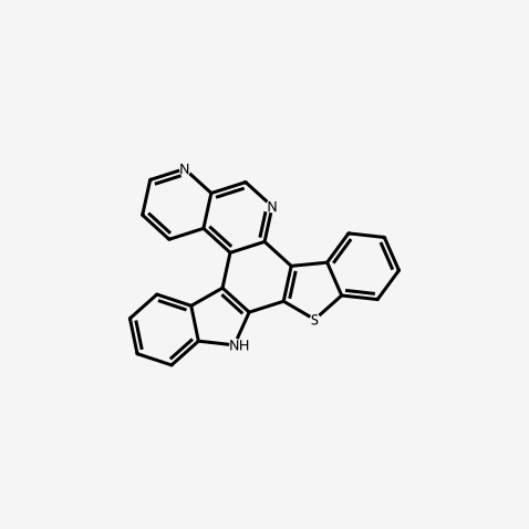 c1ccc2c(c1)[nH]c1c3sc4ccccc4c3c3ncc4ncccc4c3c21